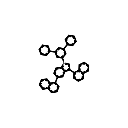 c1ccc(-c2cc(-c3ccccc3)cc(-n3cc(-c4cccc5ccccc45)c4cc(-c5cccc6ccccc56)ccc43)c2)cc1